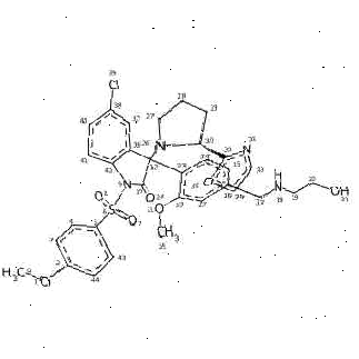 COc1ccc(S(=O)(=O)N2C(=O)C(c3ccc(CNCCO)cc3OC)(N3CCC[C@H]3c3ncco3)c3cc(Cl)ccc32)cc1